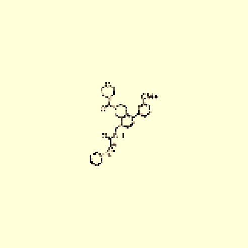 COc1cccc(-c2ccc(CNC(=O)[C@H]3C[C@@H]3c3ccccc3)c3c2CCN(C(=O)N2CCOCC2)C3)c1